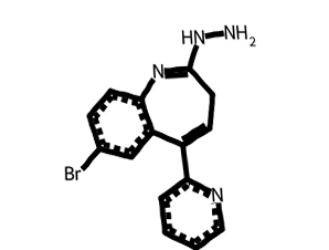 NNC1=Nc2ccc(Br)cc2C(c2ccccn2)=CC1